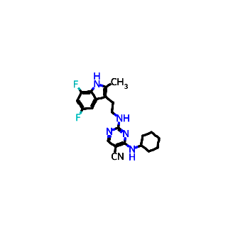 Cc1[nH]c2c(F)cc(F)cc2c1CCNc1ncc(C#N)c(NC2CCCCC2)n1